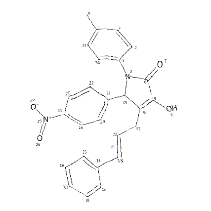 Cc1ccc(N2C(=O)C(O)=C(C/C=C/c3ccccc3)C2c2ccc([N+](=O)[O-])cc2)cc1